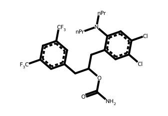 CCCN(CCC)c1cc(Cl)c(Cl)cc1CC(Cc1cc(C(F)(F)F)cc(C(F)(F)F)c1)OC(N)=O